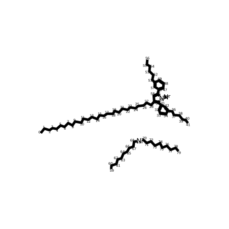 CCCCCCCCCCCCCCCCCCCCCCCCCCCCCC1=C(c2cccc(CCCCCC)c2)[N+](=[N-])C(c2cccc(CCCCCC)c2)=C1.CCCCCCCCC[CH2][Ni][CH2]CCCCCCCCC